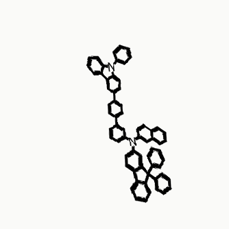 c1ccc(-n2c3ccccc3c3cc(-c4ccc(-c5cccc(N(c6ccc7c(c6)C(c6ccccc6)(c6ccccc6)c6ccccc6-7)c6ccc7ccccc7c6)c5)cc4)ccc32)cc1